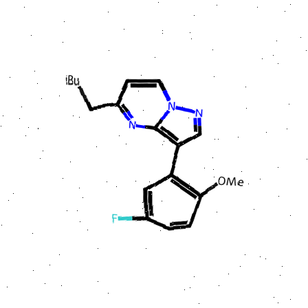 [CH2]CC(C)Cc1ccn2ncc(-c3cc(F)ccc3OC)c2n1